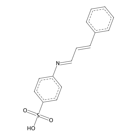 O=S(=O)(O)c1ccc(N=CC=Cc2ccccc2)cc1